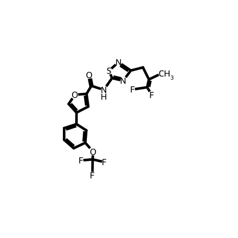 CC(Cc1nsc(NC(=O)c2cc(-c3cccc(OC(F)(F)F)c3)co2)n1)=C(F)F